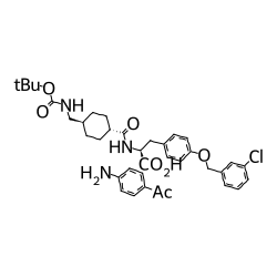 CC(=O)c1ccc(N)cc1.CC(C)(C)OC(=O)NC[C@H]1CC[C@H](C(=O)N[C@@H](Cc2ccc(OCc3cccc(Cl)c3)cc2)C(=O)O)CC1